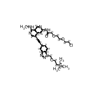 CNc1ncc(C#Cc2ccc3c(c2)nnn3COCC[Si](C)(C)C)c2cc(NC(=O)COCCOCCCl)ncc12